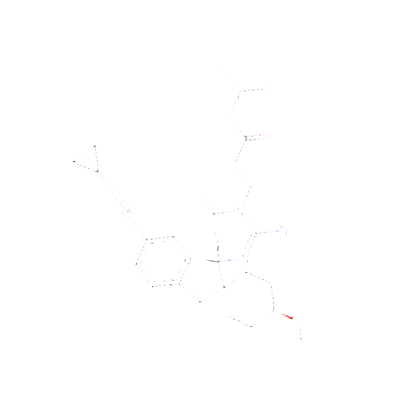 CO[C@H]1CC[C@]2(CC1)Cc1ccc(C#CC3CC3)cc1C2(C)/N=C(/N)N(C=O)CCC(=O)OC(C)C